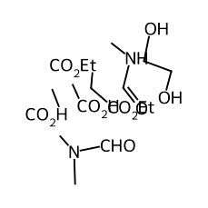 CC(=O)O.CC(=O)O.CCOC(=O)CC(=O)OCC.CN(C)C=O.CNC=O.OCCO